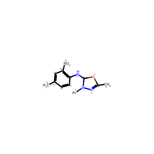 CC(=O)N1N=C(C)SC1Nc1ccc(C)cc1[N+](=O)[O-]